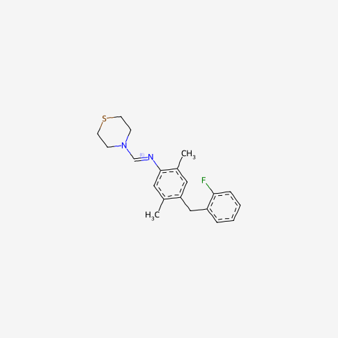 Cc1cc(/N=C/N2CCSCC2)c(C)cc1Cc1ccccc1F